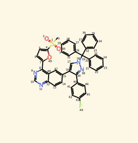 CS(=O)(=O)c1ccc(-c2ncnc3ccc(-c4cn(C(c5ccccc5)(c5ccccc5)c5ccccc5)nc4-c4ccc(F)cc4)cc23)o1